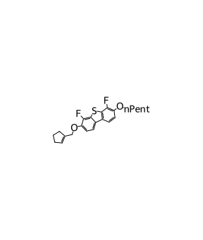 CCCCCOc1ccc2c(sc3c(F)c(OCC4=CCCC4)ccc32)c1F